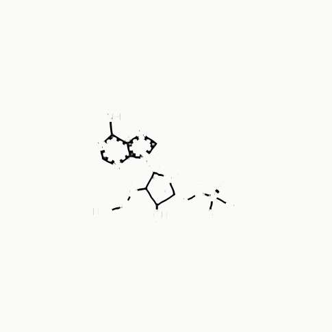 COOC1C(O)[C@@H](COP(=O)(O)O)O[C@H]1n1cnc2c(N)ncnc21